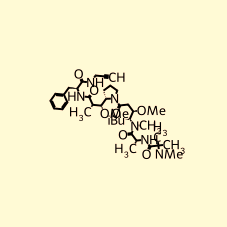 C#CCNC(=O)[C@H](Cc1ccccc1)NC(=O)[C@H](C)[C@@H](OC)[C@@H]1CCCN1C(=O)C[C@@H](OC)[C@H]([C@@H](C)CC)N(C)C(=O)[C@H](C)NC(=O)C(C)(C)NC